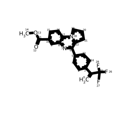 C=C(c1ccc(-c2nc3cc(C(=O)OC)ccc3n3cccc23)cc1)C(F)(F)F